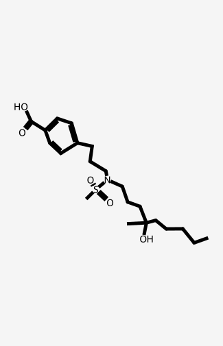 CCCCCC(C)(O)CCCN(CCCc1ccc(C(=O)O)cc1)S(C)(=O)=O